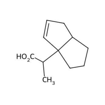 CC(C(=O)O)C12C=CCC1CCC2